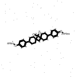 CCCCCCOc1ccc(C2CCC3(CC2)CC2(CCC(c4ccc(OCCCCCC)cc4)CC2)C3(Cl)Cl)cc1